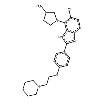 NC1CCN(c2c(Cl)cnc3nc(-c4ccc(OCCN5CCOCC5)cc4)[nH]c23)C1